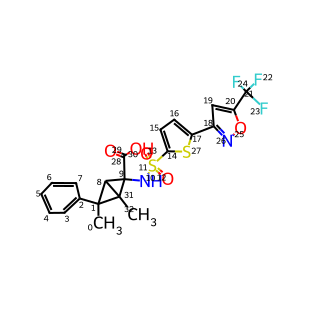 CC1(c2ccccc2)C2C(NS(=O)(=O)c3ccc(-c4cc(C(F)(F)F)on4)s3)(C(=O)O)C21C